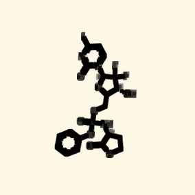 O=C1OCC[C@@H]1NP(=O)(OCC1O[C@@H](n2ccc(I)nc2=O)C(F)(F)[C@@H]1O)Oc1ccccc1